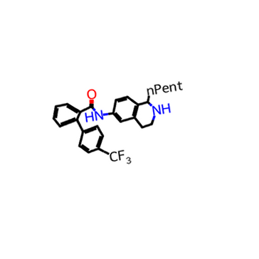 CCCCCC1NCCc2cc(NC(=O)c3ccccc3-c3ccc(C(F)(F)F)cc3)ccc21